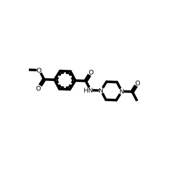 COC(=O)c1ccc(C(=O)NN2CCN(C(C)=O)CC2)cc1